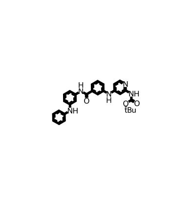 CC(C)(C)OC(=O)Nc1cc(Nc2cccc(C(=O)Nc3cccc(Nc4ccccc4)c3)c2)ccn1